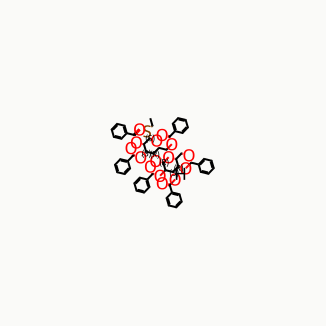 CCS[C@@H]1OC(COC(=O)c2ccccc2)[C@@H](O[C@H]2OC3COC(c4ccccc4)O[C@H]3[C@H](OC(=O)c3ccccc3)C2OC(=O)c2ccccc2)[C@H](OC(=O)c2ccccc2)C1OC(=O)c1ccccc1